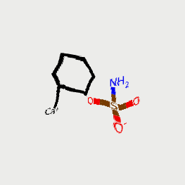 NS(=O)(=O)[O-].[Ca+][CH]1CCCCC1